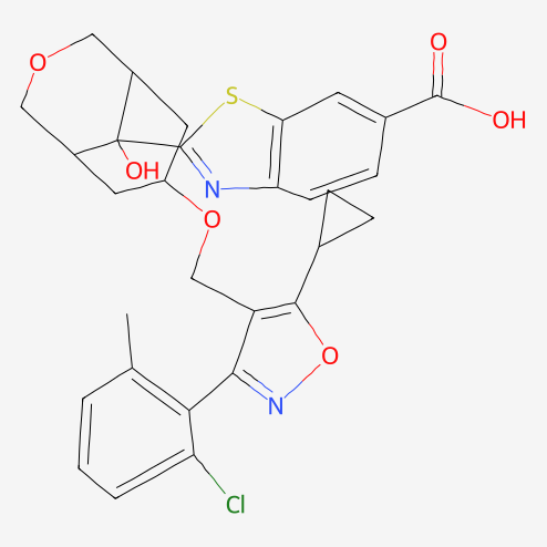 Cc1cccc(Cl)c1-c1noc(C2CC2)c1COC1CC2COCC(C1)C2(O)c1nc2ccc(C(=O)O)cc2s1